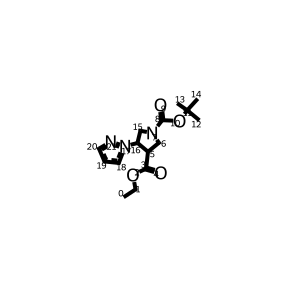 CCOC(=O)C1CN(C(=O)OC(C)(C)C)CC1n1cccn1